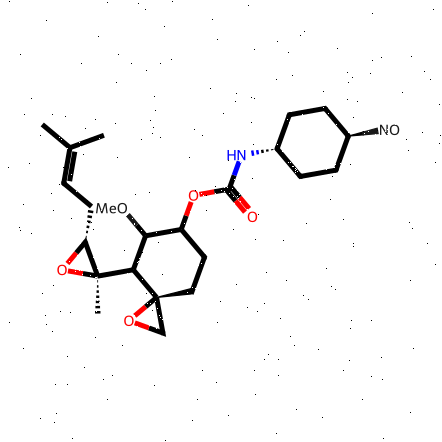 COC1C(OC(=O)N[C@H]2CC[C@H](N=O)CC2)CC[C@]2(CO2)C1[C@@]1(C)O[C@@H]1CC=C(C)C